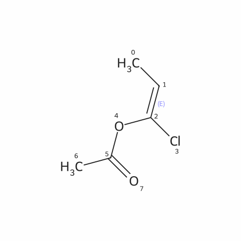 C/C=C(/Cl)OC(C)=O